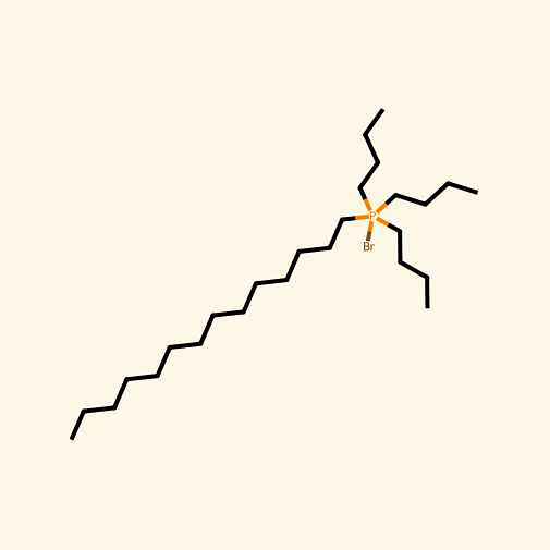 CCCCCCCCCCCCCCP(Br)(CCCC)(CCCC)CCCC